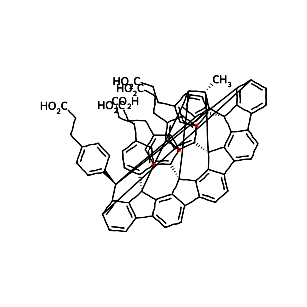 C[C@]12C3=C4C5=C1[C@@]1(c6ccc(CCC(=O)O)cc6)c6c7ccc8c6[C@]5(c5ccc(CCC(=O)O)cc5)c5c-8ccc6c5[C@]4(c4ccc(CCC(=O)O)cc4)c4c-6ccc5c4[C@]3(c3ccc(CCC(=O)O)cc3)c3c-5ccc4c3[C@]2(c2ccc(CCC(=O)O)cc2)c2c-4ccc-7c21